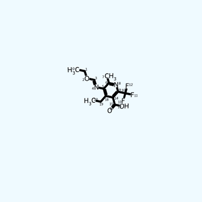 CCOC=Nc1c(C)nc(C(F)(F)F)c(C(=O)O)c1CC